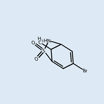 CC1C2=CC(Br)=CC1NS2(=O)=O